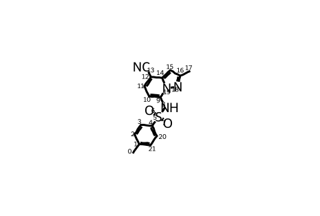 Cc1ccc(S(=O)(=O)Nc2ccc(C#N)c3cc(C)nn23)cc1